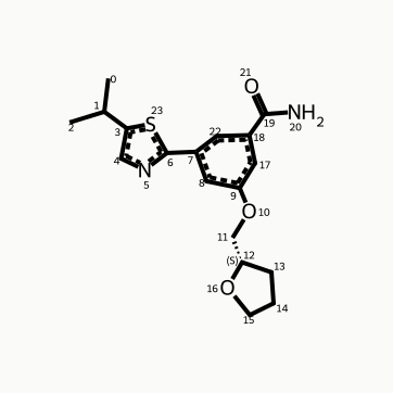 CC(C)c1cnc(-c2cc(OC[C@@H]3CCCO3)cc(C(N)=O)c2)s1